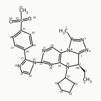 CC[C@@H]1c2nnc(C)n2-c2cnc(-n3ccnc3-c3ccc(S(C)(=O)=O)cc3)nc2N1C1CCCC1